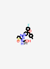 Cc1ccc(C(=O)C2(c3ccc(F)cc3)CCN(c3nc4c(c(N[C@@H](CO)C(C)C)n3)[S+]([O-])CC4)CC2)cc1